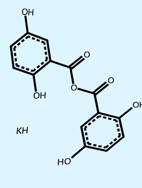 O=C(OC(=O)c1cc(O)ccc1O)c1cc(O)ccc1O.[KH]